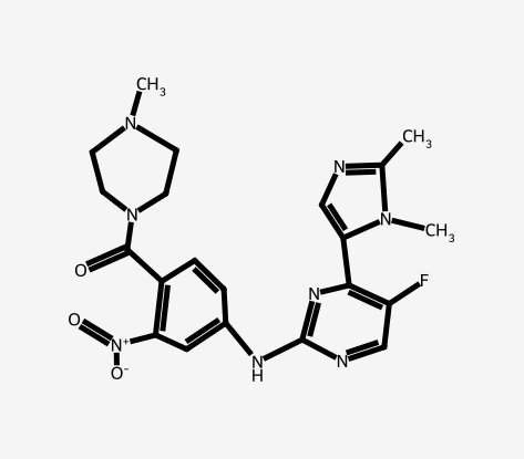 Cc1ncc(-c2nc(Nc3ccc(C(=O)N4CCN(C)CC4)c([N+](=O)[O-])c3)ncc2F)n1C